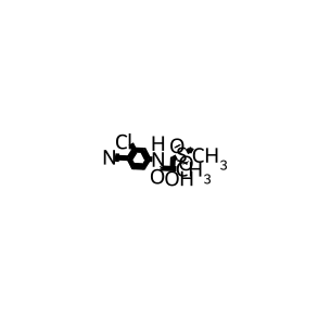 CCS(=O)(=O)CC(C)(O)C(=O)Nc1ccc(C#N)c(Cl)c1